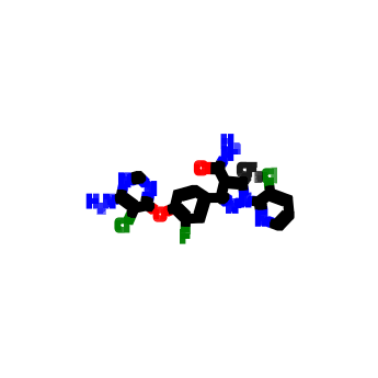 NC(=O)c1c(-c2ccc(Oc3ncnc(N)c3Cl)c(F)c2)nn(-c2ncccc2Cl)c1C(F)(F)F